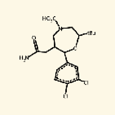 CC(C)(C)C1CN(C(=O)O)CC(CC(N)=O)C(c2ccc(Cl)c(Cl)c2)O1